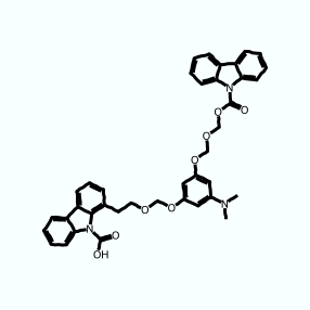 CN(C)c1cc(OCOCCc2cccc3c4ccccc4n(C(=O)O)c23)cc(OCOCOC(=O)n2c3ccccc3c3ccccc32)c1